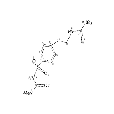 CNC(=O)NS(=O)(=O)c1ccc(CCNC(=O)C(C)(C)C)cc1